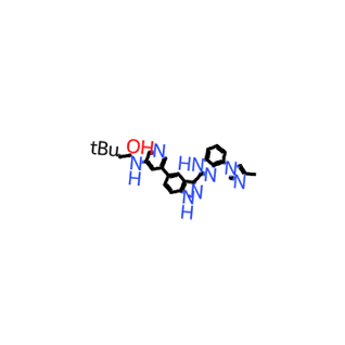 Cc1cn(-c2cccc3[nH]c(-c4n[nH]c5ccc(-c6cncc(NC(O)CC(C)(C)C)c6)cc45)nc23)cn1